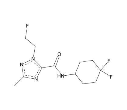 Cc1nc(C(=O)NC2CCC(F)(F)CC2)n(CCF)n1